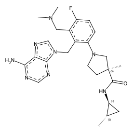 C[C@H]1C[C@@H]1NC(=O)[C@@]1(C)CCN(c2ccc(F)c(CN(C)C)c2Cn2cnc3c(N)ncnc32)C1